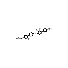 CCCCCc1ccc(C2CCC(OCc3ccc(-c4ccc(CCC)cc4)c(F)c3F)CC2)c(F)c1